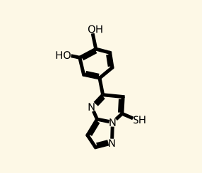 Oc1ccc(-c2cc(S)n3nccc3n2)cc1O